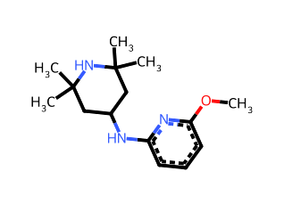 COc1cccc(NC2CC(C)(C)NC(C)(C)C2)n1